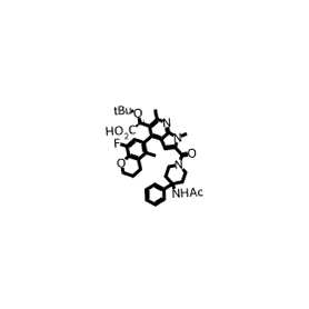 CC(=O)NC1(c2ccccc2)CCN(C(=O)c2cc3c(-c4cc(F)c5c(c4C)CCCO5)c([C@H](OC(C)(C)C)C(=O)O)c(C)nc3n2C)CC1